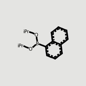 CC(C)OB(OC(C)C)c1cccc2ccccc12